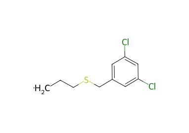 [CH2]CCSCc1cc(Cl)cc(Cl)c1